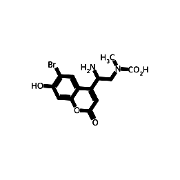 CN(CC(N)c1cc(=O)oc2cc(O)c(Br)cc12)C(=O)O